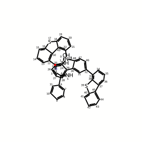 CN/C(=N\C(=N)c1ccccc1)c1cccc2sc3cccc(-n4c5ccccc5c5cc(-c6cccc7c6sc6ccccc67)ccc54)c3c12